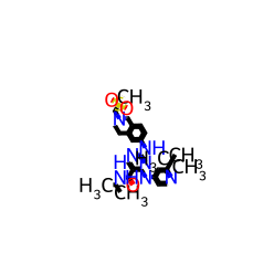 CC(C)NC(=O)c1cnc(Nc2ccc3c(c2)CCN(CS(C)(=O)=O)C3)nc1Nc1ccnc(C(C)(C)C)c1